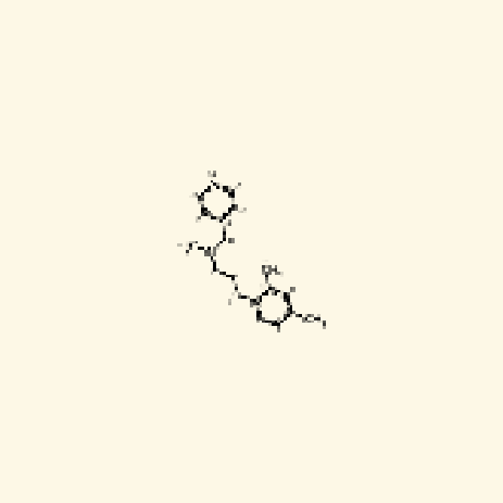 Cc1ccc(OCCN(C)Cc2ccncc2)c(C)c1